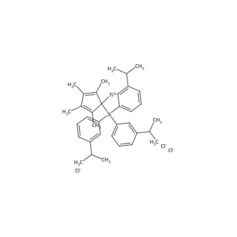 CC1=C(C)[C]([Ti+3])([Si](c2cccc(C(C)C)c2)(c2cccc(C(C)C)c2)c2cccc(C(C)C)c2)C(C)=C1C.[Cl-].[Cl-].[Cl-]